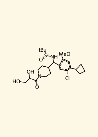 COc1cc(C2CCC2)c(Cl)cc1C(N[S@@+]([O-])C(C)(C)C)C1CCN(C(=O)C(O)CO)CC1